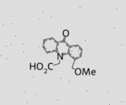 COCc1cccc2c(=O)c3ccccc3n(CC(=O)O)c12